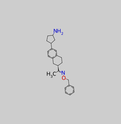 C/C(=N\OCc1ccccc1)[C@@H]1CCc2cc(C3CCC(N)C3)ccc2C1